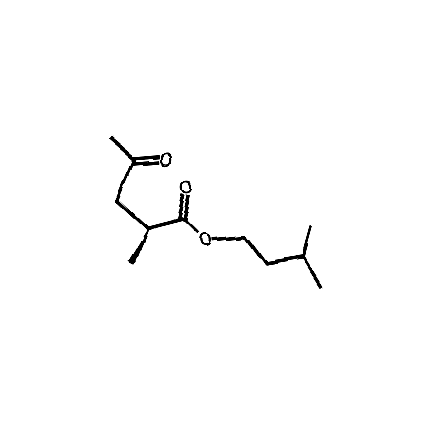 CC(=O)C[C@H](C)C(=O)OCCC(C)C